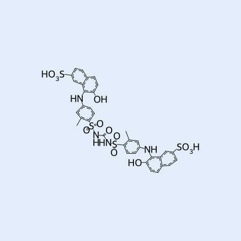 Cc1cc(Nc2c(O)ccc3ccc(S(=O)(=O)O)cc23)ccc1S(=O)(=O)NC(=O)NS(=O)(=O)c1ccc(Nc2c(O)ccc3ccc(S(=O)(=O)O)cc23)cc1C